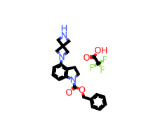 O=C(O)C(F)(F)F.O=C(OCc1ccccc1)N1CCc2c(N3CC4(CNC4)C3)cccc21